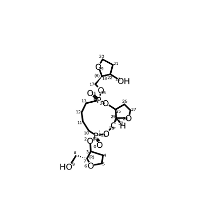 O=[P@]1(OC2CCO[C@@H]2CO)CCCC[P@@](=O)(OC[C@H]2OCCC2O)OC2CCO[C@@H]2CO1